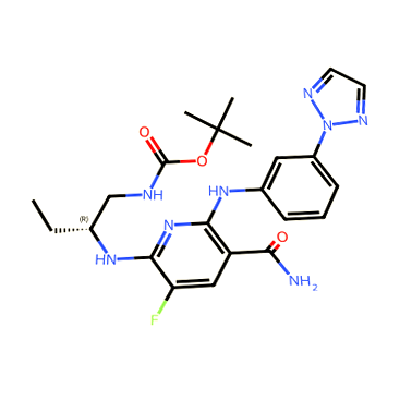 CC[C@H](CNC(=O)OC(C)(C)C)Nc1nc(Nc2cccc(-n3nccn3)c2)c(C(N)=O)cc1F